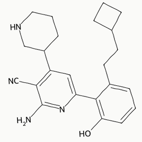 N#Cc1c(C2CCCNC2)cc(-c2c(O)cccc2CCC2CCC2)nc1N